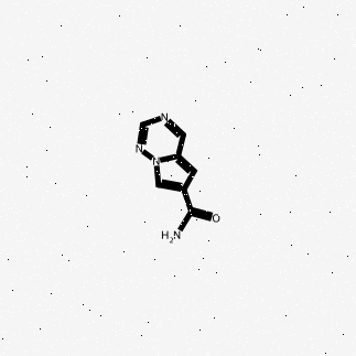 NC(=O)c1cc2cncnn2c1